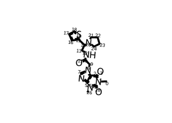 Cn1c(=O)c2c(ncn2CC(=O)NCC(c2cccs2)N2CCCC2)n(C)c1=O